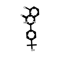 CC(C)(O)c1ccc(-c2nc3cccc(Cl)c3c(=O)[nH]2)cc1